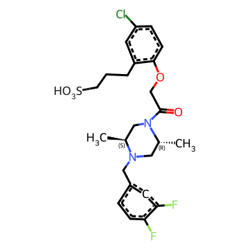 C[C@@H]1CN(Cc2ccc(F)c(F)c2)[C@@H](C)CN1C(=O)COc1ccc(Cl)cc1CCCS(=O)(=O)O